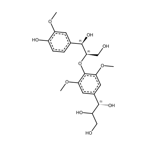 COc1cc([C@@H](O)[C@@H](CO)Oc2c(OC)cc([C@H](O)C(O)CO)cc2OC)ccc1O